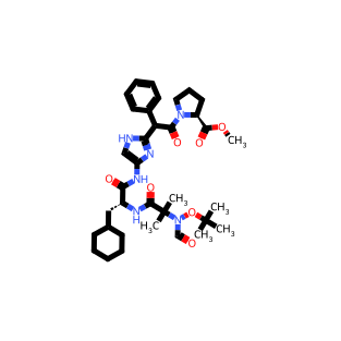 COC(=O)[C@@H]1CCCN1C(=O)C(c1ccccc1)c1nc(NC(=O)[C@@H](CC2CCCCC2)NC(=O)C(C)(C)N(C=O)OC(C)(C)C)c[nH]1